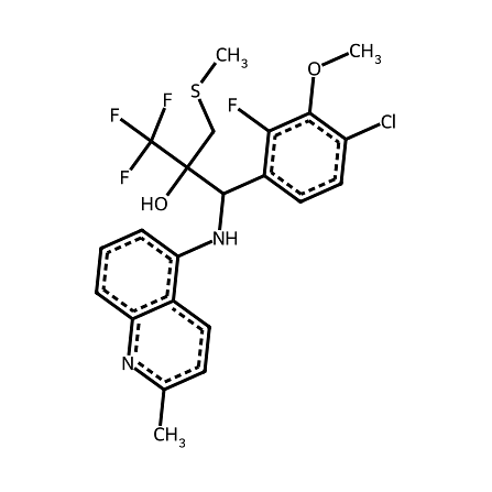 COc1c(Cl)ccc(C(Nc2cccc3nc(C)ccc23)C(O)(CSC)C(F)(F)F)c1F